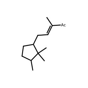 CC(=O)/C(C)=C/CC1CCC(C)C1(C)C